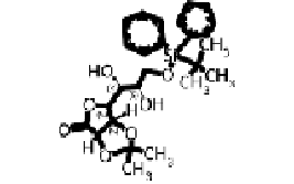 CC1(C)O[C@H]2[C@H]([C@H](O)[C@@H](O)CO[Si](c3ccccc3)(c3ccccc3)C(C)(C)C)OC(=O)[C@H]2O1